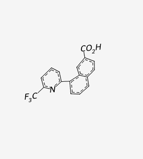 O=C(O)c1ccc2cccc(-c3cccc(C(F)(F)F)n3)c2c1